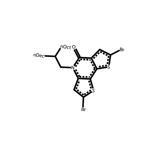 CCCCCCCCCCC(CCCCCCCC)Cn1c(=O)c2cc(Br)sc2c2sc(Br)cc21